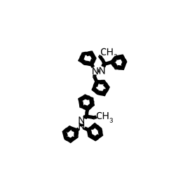 CCC(=NN(Cc1ccccc1)c1ccccc1)c1ccccc1.CCC(=NN(c1ccccc1)c1ccccc1)c1ccccc1